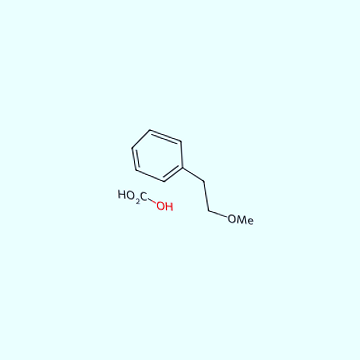 COCCc1ccccc1.O=C(O)O